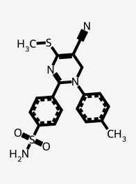 CSC1=C(C#N)CN(c2ccc(C)cc2)C(c2ccc(S(N)(=O)=O)cc2)=N1